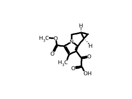 COC(=O)c1c(C)c(C(=O)C(=O)O)c2n1C[C@H]1C[C@@H]21